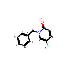 O=c1ccc(F)cn1Cc1ccccc1